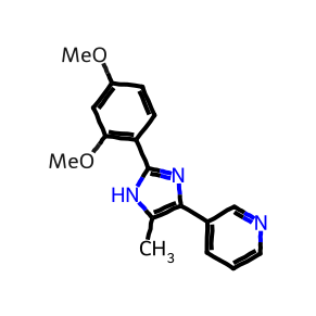 COc1ccc(-c2nc(-c3cccnc3)c(C)[nH]2)c(OC)c1